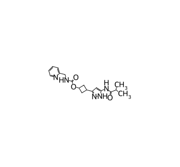 CC(C)C(=O)Nc1cc(C2CC(OC(=O)NCc3ccccn3)C2)n[nH]1